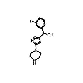 OC(c1cccc(F)c1)c1cc(N2CCNCC2)no1